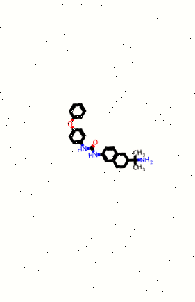 CC(C)(N)C1CCc2cc(NC(=O)Nc3ccc(Oc4ccccc4)cc3)ccc2C1